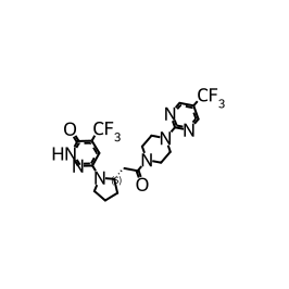 O=C(C[C@@H]1CCCN1c1cc(C(F)(F)F)c(=O)[nH]n1)N1CCN(c2ncc(C(F)(F)F)cn2)CC1